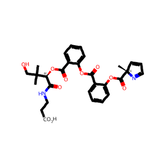 CC(C)(CO)[C@@H](OC(=O)c1ccccc1OC(=O)c1ccccc1OC(=O)[C@]1(C)C=CC=N1)C(=O)NCCC(=O)O